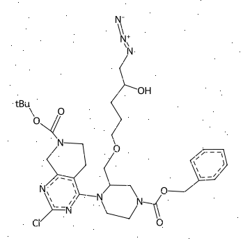 CC(C)(C)OC(=O)N1CCc2c(nc(Cl)nc2N2CCN(C(=O)OCc3ccccc3)CC2COCCCC(O)CN=[N+]=[N-])C1